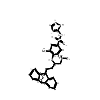 CCN(C)CC(CCC12CCC(c3ccccc31)c1ccccc12)Oc1ccc(S(=O)(=O)Nc2ncns2)cc1C#N